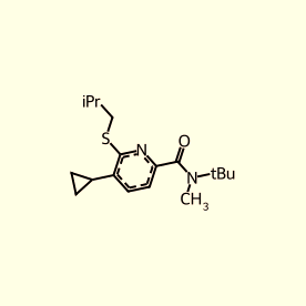 CC(C)CSc1nc(C(=O)N(C)C(C)(C)C)ccc1C1CC1